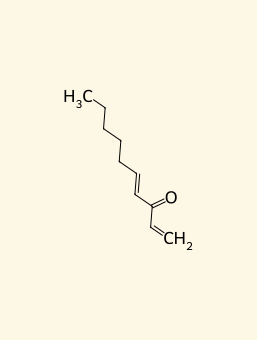 C=CC(=O)C=CCCCCC